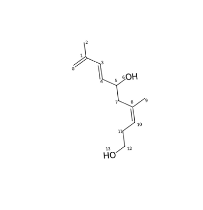 C=C(C)/C=C/C(O)C/C(C)=C\CCO